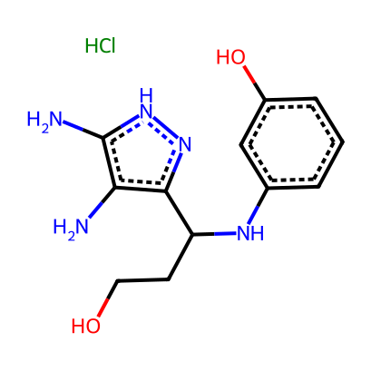 Cl.Nc1[nH]nc(C(CCO)Nc2cccc(O)c2)c1N